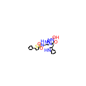 O=C(NO)[C@@H](Cc1c[nH]c2ccccc12)n1cc(CNS(=O)(=O)c2ccc(-c3ccccc3)s2)nn1